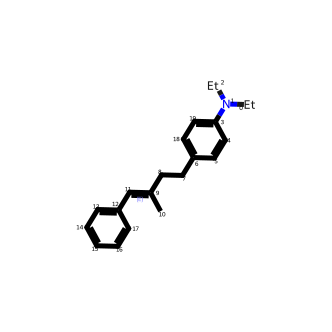 CCN(CC)c1ccc(CC/C(C)=C/c2ccccc2)cc1